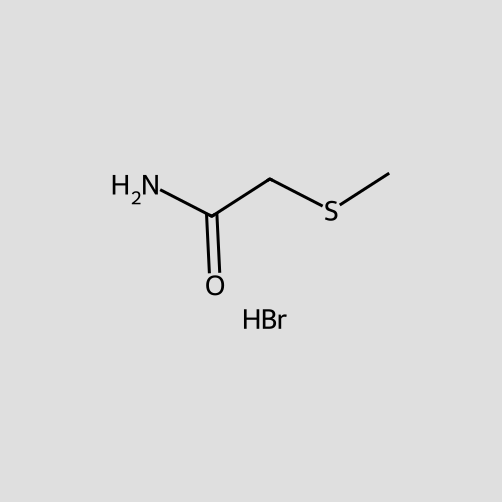 Br.CSCC(N)=O